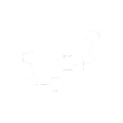 CCCCCCCCC1(c2ccnc(-c3cc(C4(CCCCCCCC)CC=C(c5cccs5)S4)ccn3)c2)CC=C(c2cccs2)S1